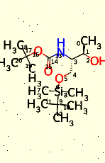 C[C@@H](O)[C@H](CO[Si](C)(C)C(C)(C)C)NC(=O)OC(C)(C)C